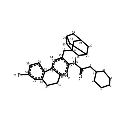 O=C(CC1CCCCC1)Nc1nc2c(nc1CC13CC4CC(CC(C4)C1)C3)-c1ccc(F)cc1CC2